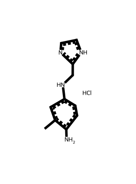 Cc1cc(NCc2ncc[nH]2)ccc1N.Cl